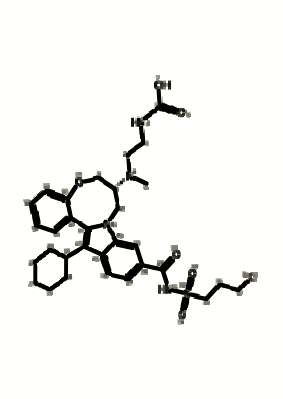 CN(CCNC(=O)O)[C@H]1COc2ccccc2-c2c(C3CCCCC3)c3ccc(C(=O)NS(=O)(=O)CCCCl)cc3n2C1